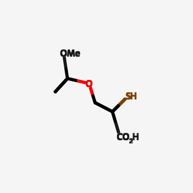 COC(C)OCC(S)C(=O)O